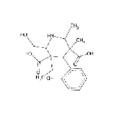 CCC1(C(=O)O)C(CO)NC(C)C(C)(C(=O)O)C1c1ccccc1Cl